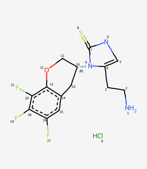 Cl.NCCC1=C[N]C(=S)N1[C@H]1COc2c(cc(F)c(F)c2F)C1